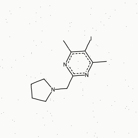 Cc1nc(CN2CCCC2)nc(C)c1I